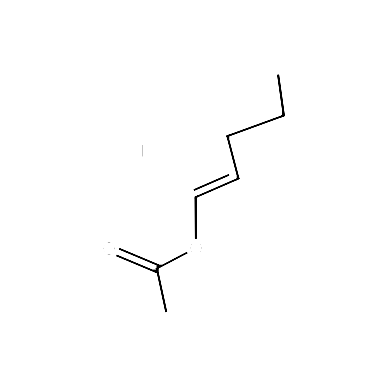 CCCC=COC(C)=O.[Ti]